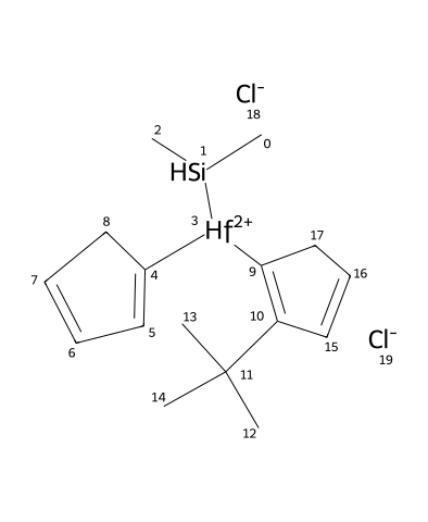 C[SiH](C)[Hf+2]([C]1=CC=CC1)[C]1=C(C(C)(C)C)C=CC1.[Cl-].[Cl-]